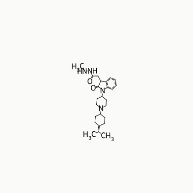 CNNC(=O)CC1C(=O)N(C2CCN(C3CCC(=C(C)C)CC3)CC2)c2ccccc21